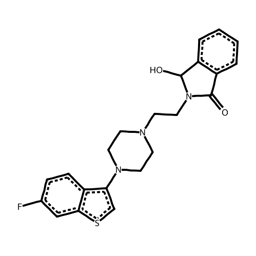 O=C1c2ccccc2C(O)N1CCN1CCN(c2csc3cc(F)ccc23)CC1